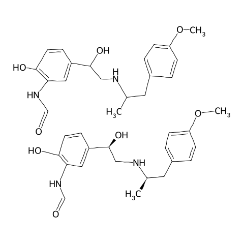 COc1ccc(CC(C)NCC(O)c2ccc(O)c(NC=O)c2)cc1.COc1ccc(C[C@@H](C)NC[C@H](O)c2ccc(O)c(NC=O)c2)cc1